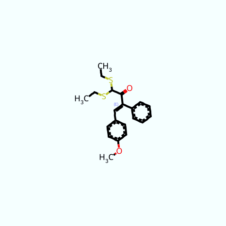 CCSC(SCC)C(=O)/C(=C/c1ccc(OC)cc1)c1ccccc1